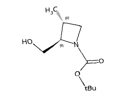 C[C@@H]1CN(C(=O)OC(C)(C)C)[C@H]1CO